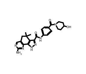 CC1(C)Cc2cnc(N)nc2-c2[nH]nc(C(=O)Nc3ccc(C(=O)N4CCC(O)CC4)cc3)c21